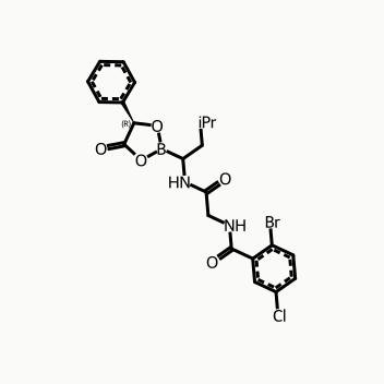 CC(C)CC(NC(=O)CNC(=O)c1cc(Cl)ccc1Br)B1OC(=O)[C@@H](c2ccccc2)O1